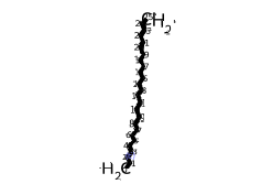 [CH2]C/C=C/CCCCCCCCCCCCCCCCCCCCC[CH2]